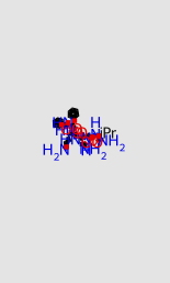 CC(C)C(NC(=O)CNC(=O)[C@H](CC(N)=O)NC(=O)[C@H](CCCCN)NC(=O)[C@H](Cc1ccccc1)NC(=O)c1ccccc1)C(N)=O